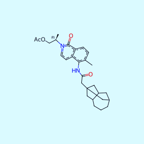 CC(=O)OC[C@@H](C)n1ccc2c(NC(=O)CC34CC5CCCC(C3)C(C5)C4)c(C)ccc2c1=O